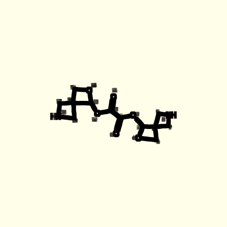 O=C(OC1OCC12CNC2)C(=O)OC1OCC12CNC2